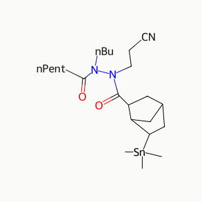 CCCCCC(=O)N(CCCC)N(CCC#N)C(=O)C1CC2CC1[CH]([Sn]([CH3])([CH3])[CH3])C2